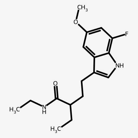 CCNC(=O)C(CC)CCc1c[nH]c2c(F)cc(OC)cc12